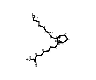 CCCCCCOCC1C2CCC(S2)C1CCCCCCC(=O)O